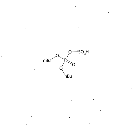 CCCCOP(=O)(OCCCC)OS(=O)(=O)O